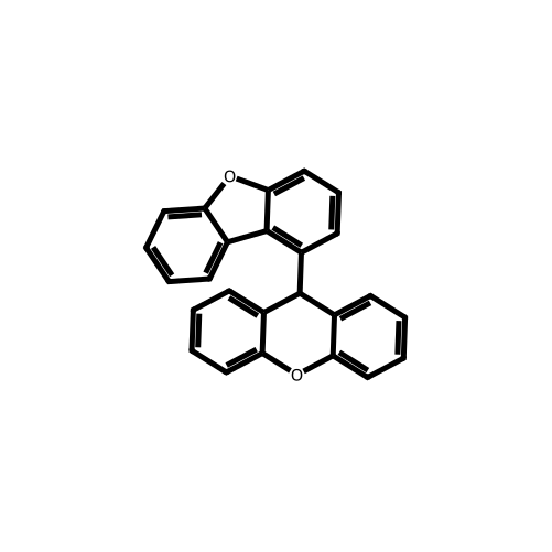 c1ccc2c(c1)Oc1ccccc1C2c1cccc2oc3ccccc3c12